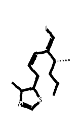 CCC[C@@H](C)C(/C=C\CC1SC=NC1C)=C/I